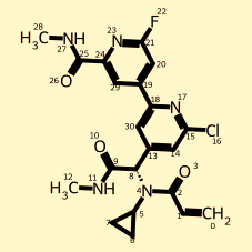 C=CC(=O)N(C1CC1)[C@H](C(=O)NC)c1cc(Cl)nc(-c2cc(F)nc(C(=O)NC)c2)c1